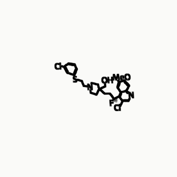 COc1ccc2ncc(Cl)c([C@@H](F)CCC3(CO)CCN(CCSc4cccc(Cl)c4)CC3)c2c1